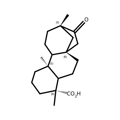 C[C@@]12CCC3[C@@](CCC4[C@@]3(C)CCC[C@@]4(C)C(=O)O)(CC1=O)C2